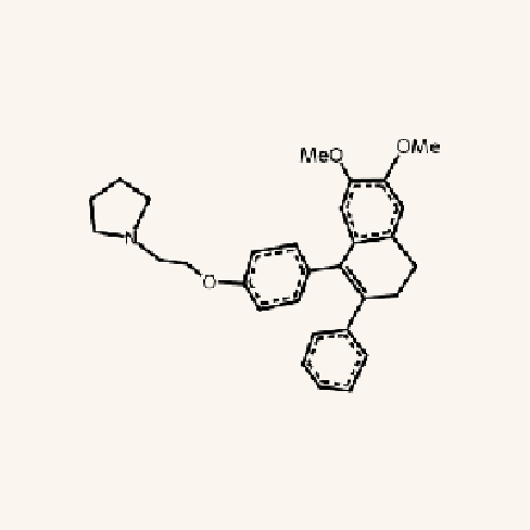 COc1cc2c(cc1OC)C(c1ccc(OCCN3CCCC3)cc1)=C(c1ccccc1)CC2